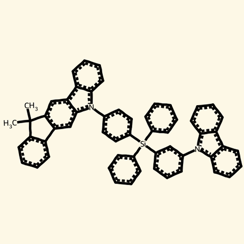 CC1(C)c2ccccc2-c2cc3c(cc21)c1ccccc1n3-c1ccc([Si](c2ccccc2)(c2ccccc2)c2cccc(-n3c4ccccc4c4ccccc43)c2)cc1